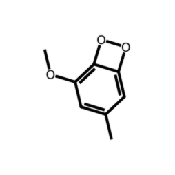 COc1cc(C)cc2ooc12